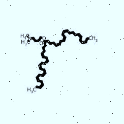 CC/C=C\C/C=C\C/C=C\C/C=C\C/C=C\C/C=C\CCCC1(CCC/C=C\C/C=C\C/C=C\CCC/C=C\C/C=C\CC)OCC(CCN(C)C)O1